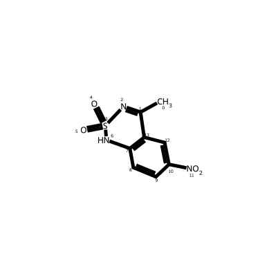 CC1=NS(=O)(=O)Nc2ccc([N+](=O)[O-])cc21